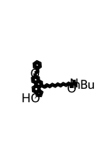 CCCCN(C)C(=O)CCCCCCCC/C=C/c1cc2cc(OCc3ccccc3)ccc2c2c1C1=CC[C@H](O)[C@@]1(C)CC2